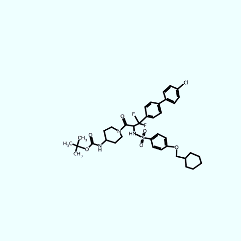 CC(C)(C)OC(=O)NC1CCN(C(=O)C(NS(=O)(=O)c2ccc(OCC3CCCCC3)cc2)C(F)(F)c2ccc(-c3ccc(Cl)cc3)cc2)CC1